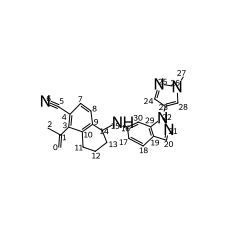 C=C(C)c1c(C#N)ccc2c1CCCC2Nc1ccc2cnn(-c3cnn(C)c3)c2c1